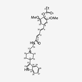 CCC(=O)Oc1c(OC)cc(C=CC=CC(=O)NCCN2CCC(c3c[nH]c4ccccc34)CC2)cc1OC